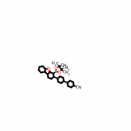 CC1(C)OB(c2c(-c3ccc(-c4ccc(C#N)cc4)cc3)ccc3c2oc2ccccc23)OC1(C)C